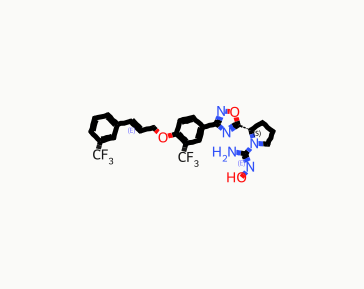 N/C(=N\O)N1CCC[C@H]1c1nc(-c2ccc(OC/C=C/c3cccc(C(F)(F)F)c3)c(C(F)(F)F)c2)no1